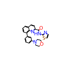 O=C(Nc1nccs1)c1ccc2cccc(-c3cccc(N4CCOCC4)c3)c2n1